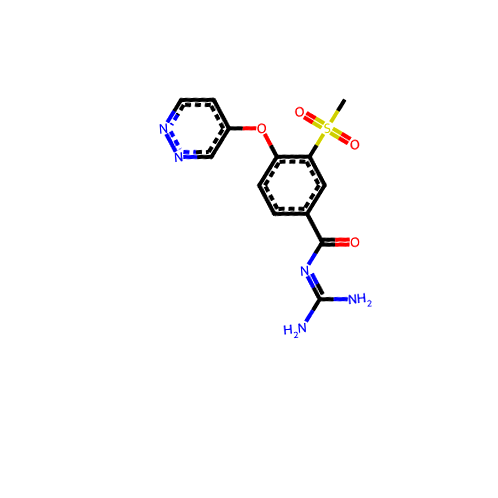 CS(=O)(=O)c1cc(C(=O)N=C(N)N)ccc1Oc1ccnnc1